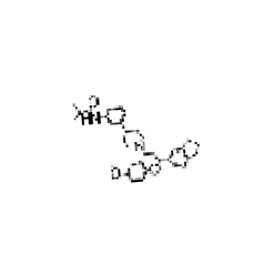 COc1ccc(OC(CCN2CCC(c3cccc(NC(=O)C(C)C)c3)CC2)c2ccc3c(c2)CCC3)cc1